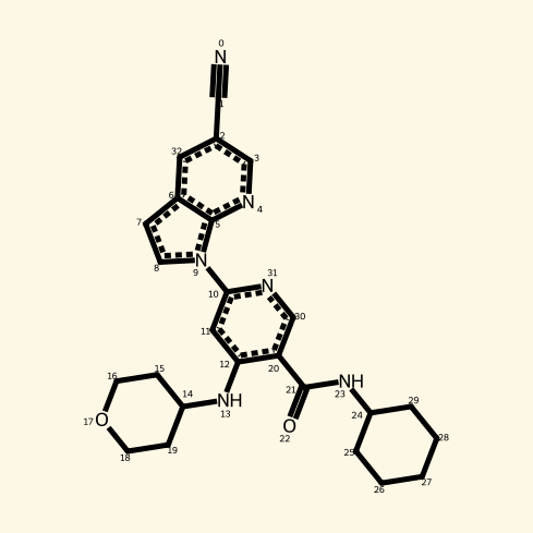 N#Cc1cnc2c(ccn2-c2cc(NC3CCOCC3)c(C(=O)NC3CCCCC3)cn2)c1